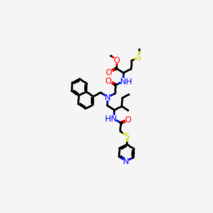 CCC(C)C(CN(CC(=O)NC(CCSC)C(=O)OC)Cc1cccc2ccccc12)NC(=O)CSc1ccncc1